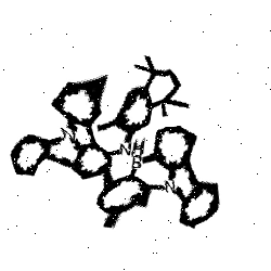 Cc1cc(-c2cc3c4ccccc4n4c5ccccc5c(c2Nc2cc5c(cc2C)C(C)(C)CCC5(C)C)c34)c2c(c1)-n1c3ccccc3c3cccc(c31)B2